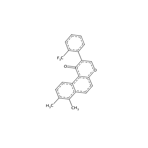 Cc1ccc2c(ccc3occ(-c4ccccc4C(F)(F)F)c(=O)c32)c1C